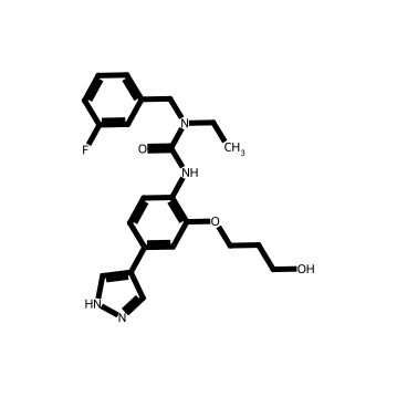 CCN(Cc1cccc(F)c1)C(=O)Nc1ccc(-c2cn[nH]c2)cc1OCCCO